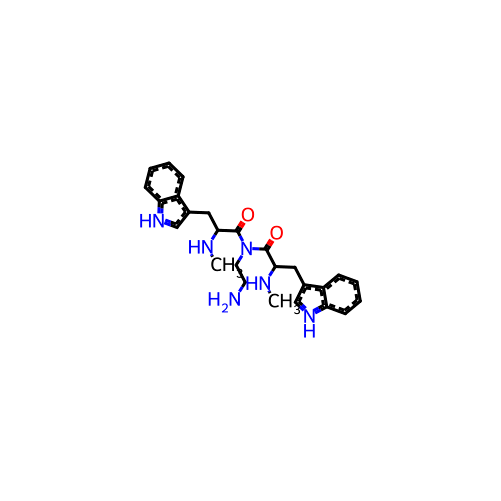 CNC(Cc1c[nH]c2ccccc12)C(=O)N(CCN)C(=O)C(Cc1c[nH]c2ccccc12)NC